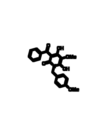 COc1ccc(Cn2c(O)c(OC)c(O)c(C(=O)c3ccccc3)c2=O)cc1